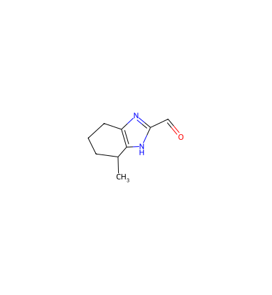 CC1CCCc2nc(C=O)[nH]c21